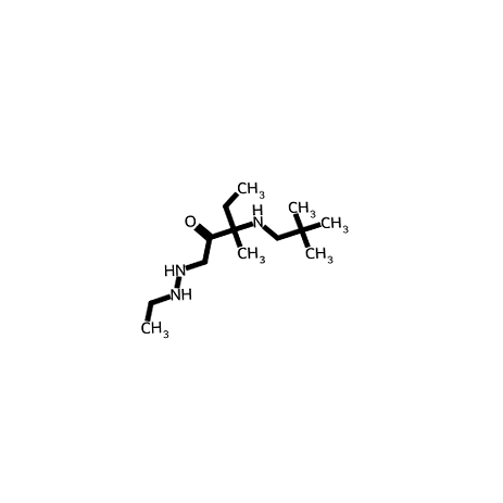 CCNNCC(=O)C(C)(CC)NCC(C)(C)C